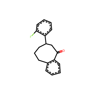 O=C1CC(c2ccccc2F)CCCc2ccccc21